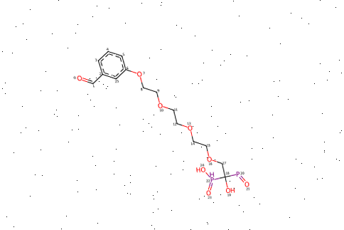 O=Cc1cccc(OCCOCCOCCOCC(O)(P=O)[PH](=O)O)c1